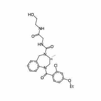 CCOc1ccc(C(=O)N2C[C@@H](C)N(C(=O)NCC(=O)NCCO)Cc3ccccc32)c(Cl)c1